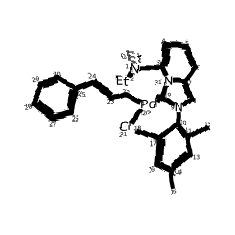 CCN(CC)c1cccc2cn(-c3c(C)cc(C)cc3C)[c](=[Pd]([Cl])[CH2]C=Cc3ccccc3)n12